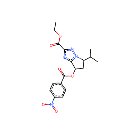 CCOC(=O)c1nc2n(n1)C(C(C)C)CC2OC(=O)c1ccc([N+](=O)[O-])cc1